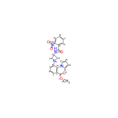 COC(=O)c1cccc(N2CC(NC(=O)c3ccccc3[N+](=O)[O-])C2)c1-n1cccc1